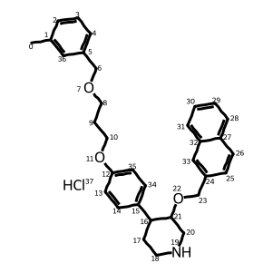 Cc1cccc(COCCCOc2ccc(C3CCNCC3OCc3ccc4ccccc4c3)cc2)c1.Cl